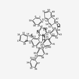 c1ccc(C2=NC(c3cccc4c3sc3ccccc34)NC(c3c(-c4ccc(-c5ccc(-c6ccccc6)cc5)cc4)ccc4oc5cc6ccccc6cc5c34)=N2)cc1